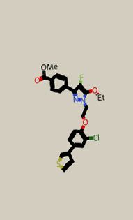 CCOc1c(F)c(-c2ccc(C(=O)OC)cc2)nn1CCOc1ccc(-c2ccsc2)cc1Cl